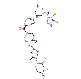 Cc1cc(N2CC3(CCN(C(=O)c4ccc([C@H]5C[C@@H](Nc6cnn(C)c(=O)c6Br)CN(C)C5)cc4)CC3)C2)ccc1C1CCC(=O)NC1=O